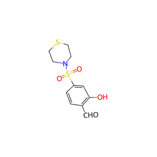 O=Cc1ccc(S(=O)(=O)N2CCSCC2)cc1O